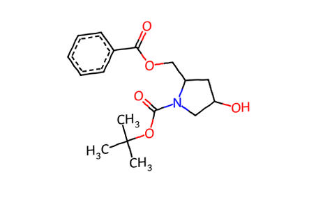 CC(C)(C)OC(=O)N1CC(O)CC1COC(=O)c1ccccc1